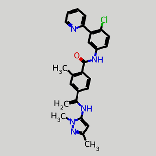 C=C(Nc1cc(C)nn1C)c1ccc(C(=O)Nc2ccc(Cl)c(-c3ccccn3)c2)c(C)c1